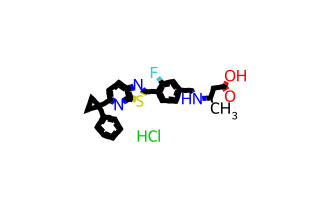 C[C@@H](CC(=O)O)NCc1ccc(-c2nc3ccc(C4(c5ccccc5)CC4)nc3s2)c(F)c1.Cl